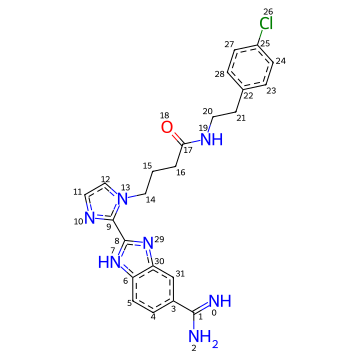 N=C(N)c1ccc2[nH]c(-c3nccn3CCCC(=O)NCCc3ccc(Cl)cc3)nc2c1